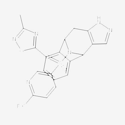 Cc1noc(-c2cccc3c2C2Cc4[nH]ncc4C3N2S(=O)(=O)c2ccc(C(F)(F)F)nc2)n1